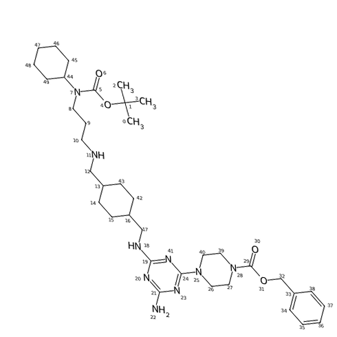 CC(C)(C)OC(=O)N(CCCNCC1CCC(CNc2nc(N)nc(N3CCN(C(=O)OCc4ccccc4)CC3)n2)CC1)C1CCCCC1